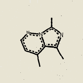 Cc1ccnn2c(C)nc(C)c12